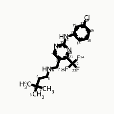 CC(C)(C)CCNCc1cnc(Nc2cccc(Cl)c2)nc1C(F)(F)F